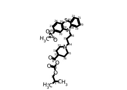 CC(C)COC(=O)OC(=O)C1CCN(CCCN2c3ccccc3Sc3ccc(S(C)(=O)=O)cc32)CC1